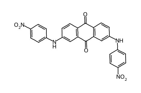 O=C1c2ccc(Nc3ccc([N+](=O)[O-])cc3)cc2C(=O)c2cc(Nc3ccc([N+](=O)[O-])cc3)ccc21